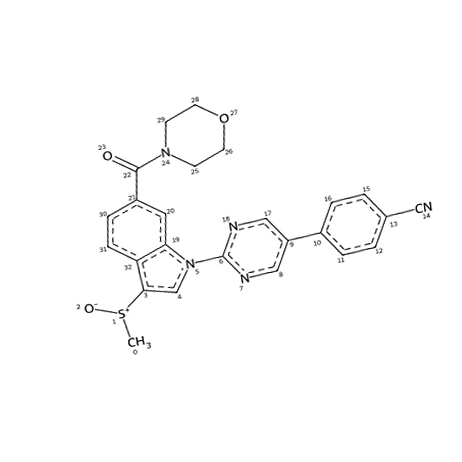 C[S+]([O-])c1cn(-c2ncc(-c3ccc(C#N)cc3)cn2)c2cc(C(=O)N3CCOCC3)ccc12